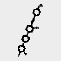 CCCCc1ccc(C#Cc2ccc(-c3ccc(-c4ccc(F)c(F)c4)cc3)cc2CC)cc1